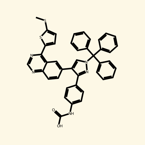 CSc1ccc(-c2ncnc3ccc(-c4cn(C(c5ccccc5)(c5ccccc5)c5ccccc5)nc4-c4ccc(NC(=O)O)cc4)cc23)s1